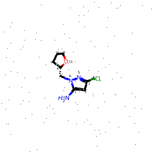 Nc1cc(Cl)nn1C[C@@H]1CCCO1